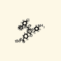 CC(C)(C)OC(=O)c1ccc(NC(=O)[C@H](Cc2ccc(N)cc2)NC(=O)C(=O)Nc2cc(Cl)ccc2-n2cnnn2)cc1